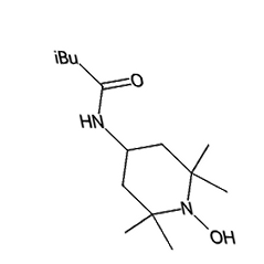 CCC(C)C(=O)NC1CC(C)(C)N(O)C(C)(C)C1